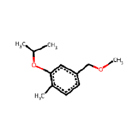 COCc1ccc(C)c(OC(C)C)c1